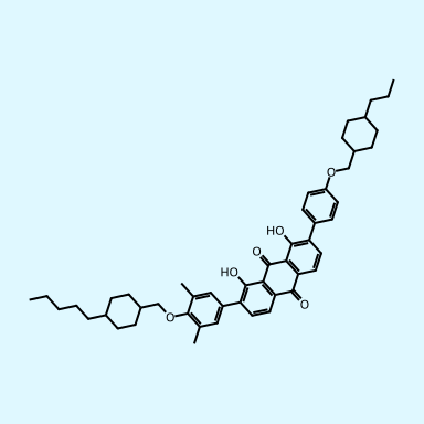 CCCCCC1CCC(COc2c(C)cc(-c3ccc4c(c3O)C(=O)c3c(ccc(-c5ccc(OCC6CCC(CCC)CC6)cc5)c3O)C4=O)cc2C)CC1